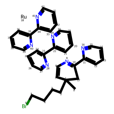 CC1(CCCCBr)C=CN=C(c2ccccn2)C1.[Ru].c1ccc(-c2ccccn2)nc1.c1ccc(-c2ccccn2)nc1